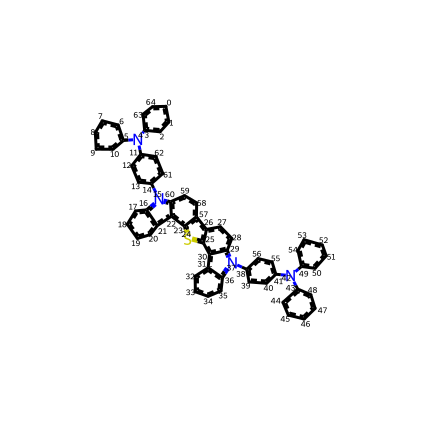 c1ccc(N(c2ccccc2)c2ccc(-n3c4ccccc4c4c5sc6c(ccc7c6c6ccccc6n7-c6ccc(N(c7ccccc7)c7ccccc7)cc6)c5ccc43)cc2)cc1